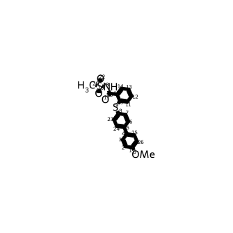 COc1ccc(-c2ccc(Sc3ccccc3C(=O)NS(C)(=O)=O)cc2)cc1